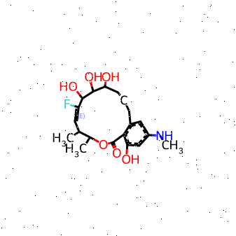 CNc1cc(O)c2c(c1)CCCC(O)C(O)C(O)/C(F)=C\C(C)C(C)OC2=O